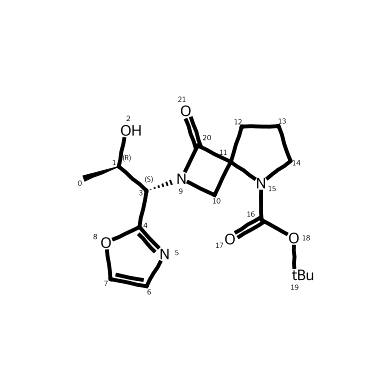 C[C@@H](O)[C@@H](c1ncco1)N1CC2(CCCN2C(=O)OC(C)(C)C)C1=O